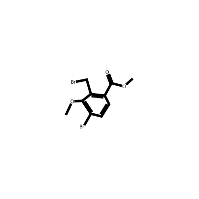 COC(=O)c1ccc(Br)c(OC)c1CBr